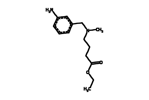 CCOC(=O)CCCN(C)Cc1cccc(N)c1